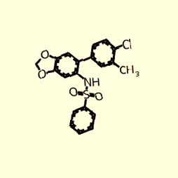 Cc1cc(-c2cc3c(cc2NS(=O)(=O)c2ccccc2)OCO3)ccc1Cl